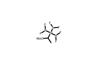 COC(C)[N+](N(F)F)(N(F)F)N(F)F